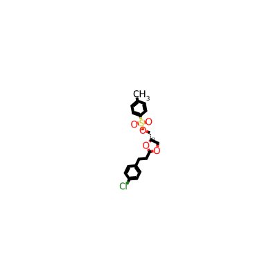 Cc1ccc(S(=O)(=O)OC[C@@H]2COC(CCc3ccc(Cl)cc3)O2)cc1